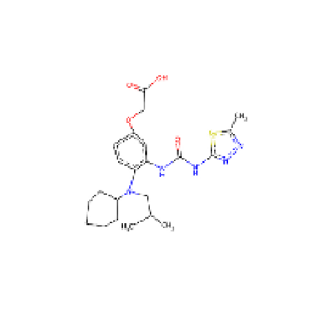 Cc1nnc(NC(=O)Nc2cc(OCC(=O)O)ccc2N(CC(C)C)C2CCCCC2)s1